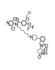 O=C1CCC(N2Cc3c(cccc3C3CCN(CCCCCCCN(C(=O)c4ccc(OC(F)F)c(OCC5CC5)c4)c4c(Cl)cncc4Cl)CC3)C2=O)C(=O)N1